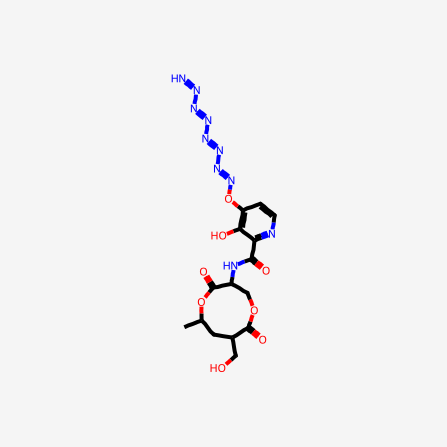 CC1CC(CO)C(=O)OCC(NC(=O)c2nccc(ON=NN=NN=NN=N)c2O)C(=O)O1